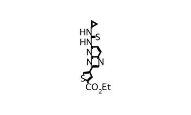 CCOC(=O)c1cc(-c2cnc3ccc(NC(=S)NC4CC4)nc3n2)cs1